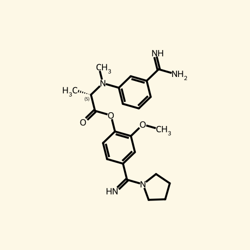 COc1cc(C(=N)N2CCCC2)ccc1OC(=O)[C@H](C)N(C)c1cccc(C(=N)N)c1